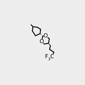 CC1CCC([C@H]2OC[C@H](CCCC(F)(F)F)CO2)CC1